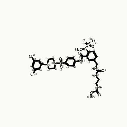 CN(c1ccc(CNC(=O)NCCNC(=O)OC(C)(C)C)cc1C(=O)Nc1ccc(S(=O)(=O)N2CCN(c3cc(Cl)cc(Cl)c3)CC2)cc1)S(C)(=O)=O